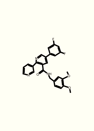 COc1ccc(CNC(=O)c2cc(-c3cc(F)cc(F)c3)cnc2-c2cccnc2)cc1OC